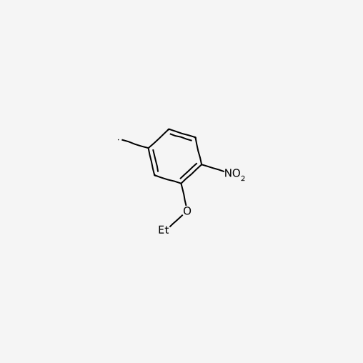 [CH2]c1ccc([N+](=O)[O-])c(OCC)c1